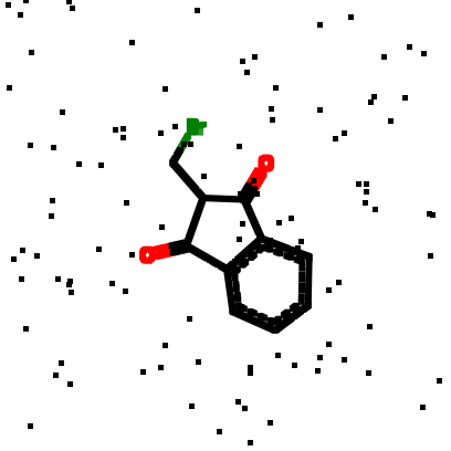 O=C1c2ccccc2C(=O)C1CBr